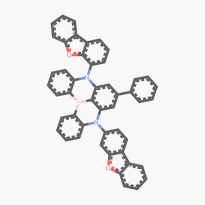 c1ccc(-c2cc3c4c(c2)N(c2cccc5c2oc2ccccc25)c2ccccc2B4c2ccccc2N3c2ccc3c(c2)oc2ccccc23)cc1